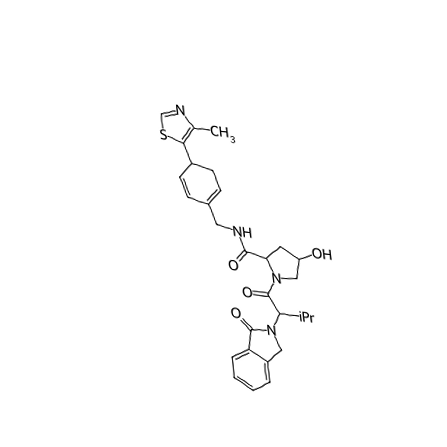 Cc1ncsc1C1C=CC(CNC(=O)C2CC(O)CN2C(=O)C(C(C)C)N2Cc3ccccc3C2=O)=CC1